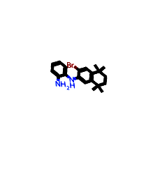 CC1(C)CCC(C)(C)c2cc(Nc3ccccc3N)c(Br)cc21